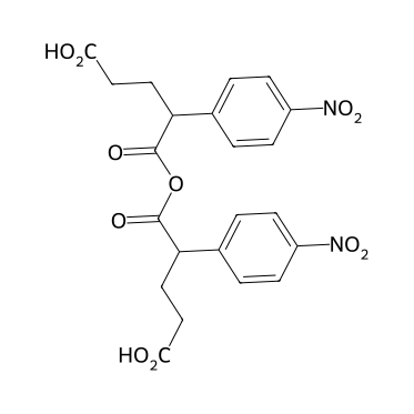 O=C(O)CCC(C(=O)OC(=O)C(CCC(=O)O)c1ccc([N+](=O)[O-])cc1)c1ccc([N+](=O)[O-])cc1